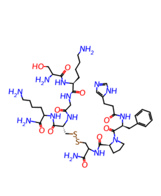 NCCCCC(NC(=O)[C@@H](CSSCC(NC(=O)[C@@H]1CCCN1C(=O)[C@H](Cc1ccccc1)NC(=O)CCc1cnc[nH]1)C(N)=O)NC(=O)CNC(=O)[C@H](CCCCN)NC(=O)[C@@H](N)CO)C(N)=O